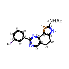 CC(=O)Nc1nc2c(s1)-c1nc(-c3cccc(I)c3)ncc1CC2